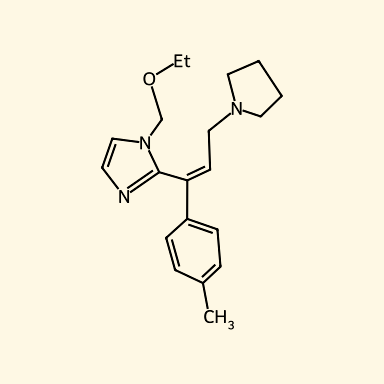 CCOCn1ccnc1C(=CCN1CCCC1)c1ccc(C)cc1